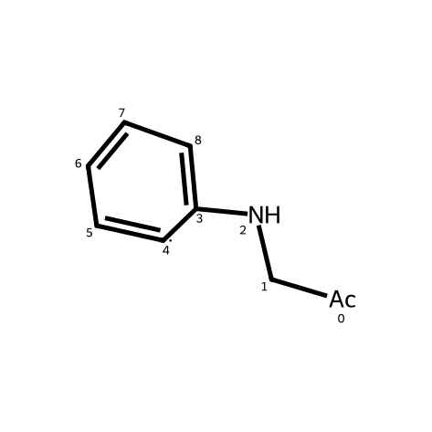 CC(=O)CNc1[c]cccc1